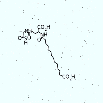 C[C@H](NC(=O)CC[C@H](NC(=O)CCCCCCCCCCCCC(=O)O)C(=O)O)C(=O)S